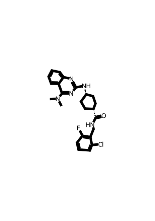 CN(C)c1nc(N[C@H]2CC[C@@H](C(=O)NCc3c(F)cccc3Cl)CC2)nc2ccccc12